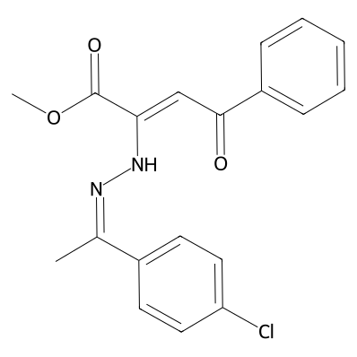 COC(=O)C(=CC(=O)c1ccccc1)NN=C(C)c1ccc(Cl)cc1